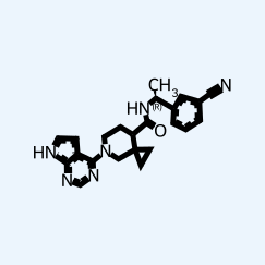 C[C@@H](NC(=O)C1CCN(c2ncnc3[nH]ccc23)CC12CC2)c1cccc(C#N)c1